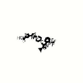 O=C(O)c1cc(-c2csc(N3CCC(OCc4c(-c5ccccc5OC(F)(F)F)noc4C4CC4)CC3)n2)cs1